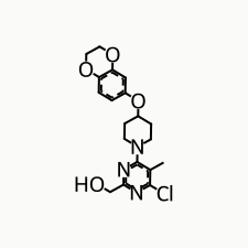 Cc1c(Cl)nc(CO)nc1N1CCC(Oc2ccc3c(c2)OCCO3)CC1